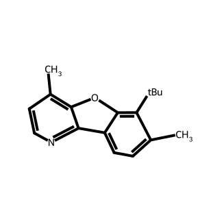 Cc1ccc2c(oc3c(C)ccnc32)c1C(C)(C)C